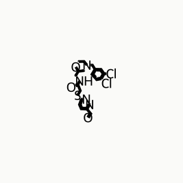 O=Cc1ccc(SCC(=O)NCC2CN(Cc3ccc(Cl)c(Cl)c3)CCO2)nn1